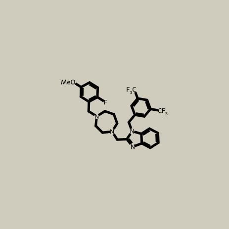 COc1ccc(F)c(CN2CCCN(Cc3nc4ccccc4n3Cc3cc(C(F)(F)F)cc(C(F)(F)F)c3)CC2)c1